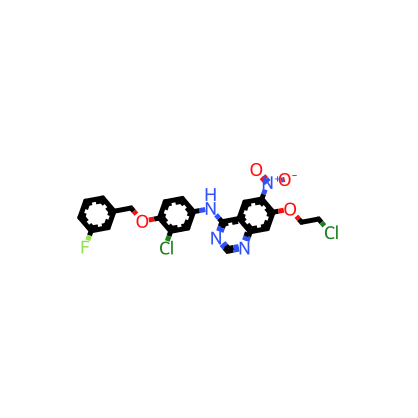 O=[N+]([O-])c1cc2c(Nc3ccc(OCc4cccc(F)c4)c(Cl)c3)ncnc2cc1OCCCl